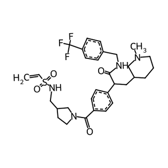 C=CS(=O)(=O)NCC1CCN(C(=O)c2ccc(C(CC3CCCN(C)C3)C(=O)NCc3ccc(C(F)(F)F)cc3)cc2)C1